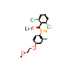 COCCOc1ccc(PC(=O)c2c(Cl)cccc2Cl)c(C)c1.[LiH]